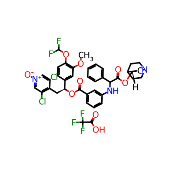 COc1cc([C@H](Cc2c(Cl)c[n+]([O-])cc2Cl)OC(=O)c2cccc(NC(C(=O)O[C@H]3CN4CCC3CC4)c3ccccc3)c2)ccc1OC(F)F.O=C(O)C(F)(F)F